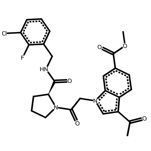 COC(=O)c1ccc2c(C(C)=O)cn(CC(=O)N3CCC[C@H]3C(=O)NCc3cccc(Cl)c3F)c2c1